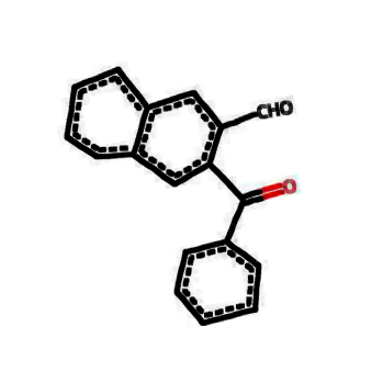 O=Cc1cc2ccccc2cc1C(=O)c1ccccc1